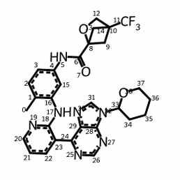 Cc1ccc(NC(=O)C23CC(C(F)(F)F)(CO2)C3)cc1Nc1ncccc1-c1ncnc2c1ncn2C1CCCCO1